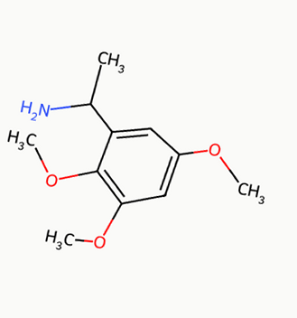 COc1cc(OC)c(OC)c(C(C)N)c1